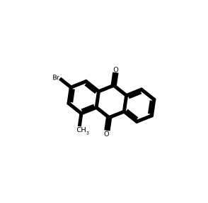 Cc1cc(Br)cc2c1C(=O)c1ccccc1C2=O